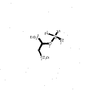 CCOC(=O)CC(O[Si](CC)(CC)CC)C(=O)OCC